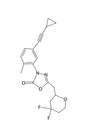 Cc1ccc(C#CC2CC2)cc1-n1nc(CC2CC(F)(F)CCO2)oc1=O